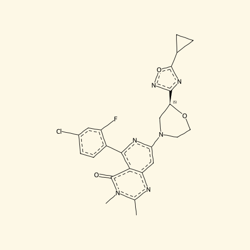 Cc1nc2cc(N3CCO[C@H](c4noc(C5CC5)n4)C3)nc(-c3ccc(Cl)cc3F)c2c(=O)n1C